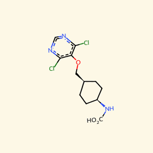 O=C(O)N[C@H]1CC[C@@H](COc2c(Cl)ncnc2Cl)CC1